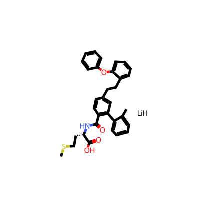 CSCC[C@H](NC(=O)c1ccc(CCc2ccccc2Oc2ccccc2)cc1-c1ccccc1C)C(=O)O.[LiH]